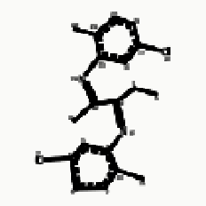 CCC(=N/c1cc(Cl)ccc1C)/C(C)=N\c1cc(Cl)ccc1C